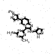 Cc1nc(N)nc(-c2c(Nc3ccn[nH]3)nc3ccc(-c4cnn(C(C)C)c4)cn23)n1